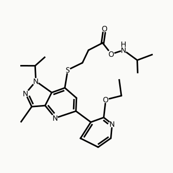 CCOc1ncccc1-c1cc(SCCC(=O)ONC(C)C)c2c(n1)c(C)nn2C(C)C